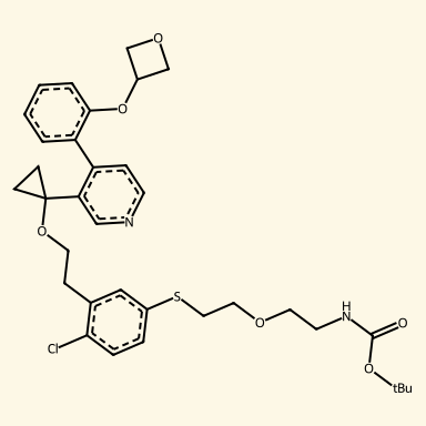 CC(C)(C)OC(=O)NCCOCCSc1ccc(Cl)c(CCOC2(c3cnccc3-c3ccccc3OC3COC3)CC2)c1